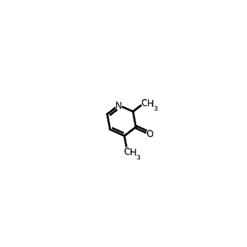 CC1=CC=NC(C)C1=O